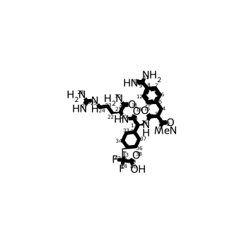 CNC(=O)C(Cc1ccc(C(=N)N)cc1)C(=O)N[C@H](C(=O)N[C@@H](CCCNC(=N)N)C(N)=O)C1CCCCC1.O=C(O)C(F)(F)F